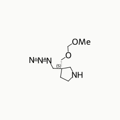 COCOC[C@@]1(CN=[N+]=[N-])CCNC1